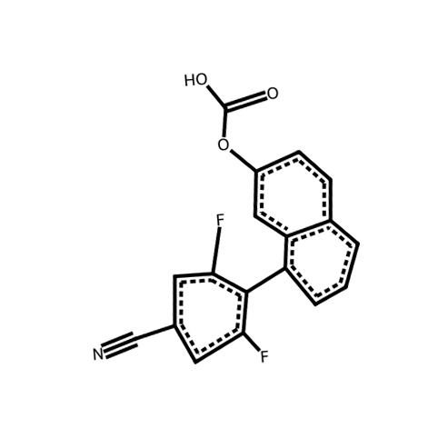 N#Cc1cc(F)c(-c2cccc3ccc(OC(=O)O)cc23)c(F)c1